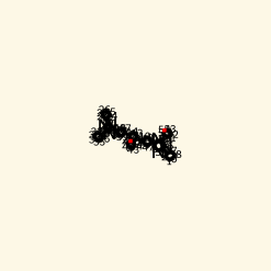 c1ccc(C2=NCC(c3ccc(-c4ccc(-c5ccc(-c6nc(-c7ccccc7)nc(-c7ccccc7)n6)cc5)c5ccccc45)cc3)=NC(c3ccccc3)=N2)cc1